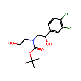 CC(C)(C)OC(=O)N(CCO)C[C@H](O)c1ccc(Cl)c(Cl)c1